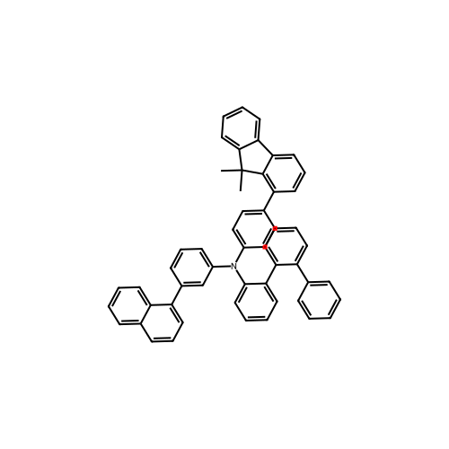 CC1(C)c2ccccc2-c2cccc(-c3ccc(N(c4cccc(-c5cccc6ccccc56)c4)c4ccccc4-c4ccccc4-c4ccccc4)cc3)c21